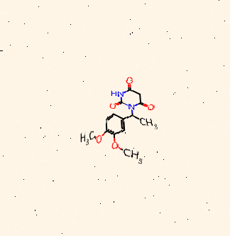 COc1ccc(C(C)N2C(=O)CC(=O)NC2=O)cc1OC